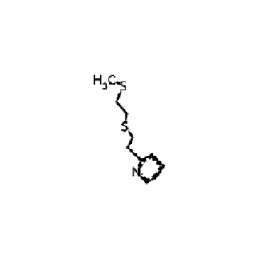 CSCCSCCc1ccccn1